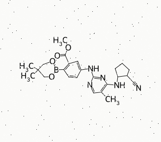 COC(=O)c1cc(Nc2ncc(C)c(NC3CCCC3C#N)n2)ccc1B1OCC(C)(C)CO1